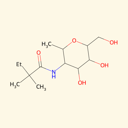 CCC(C)(C)C(=O)NC1C(C)OC(CO)C(O)C1O